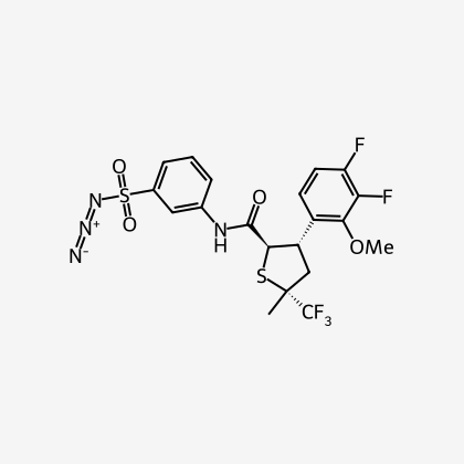 COc1c([C@@H]2C[C@](C)(C(F)(F)F)S[C@H]2C(=O)Nc2cccc(S(=O)(=O)N=[N+]=[N-])c2)ccc(F)c1F